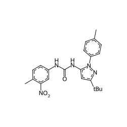 Cc1ccc(-n2nc(C(C)(C)C)cc2NC(=O)Nc2ccc(C)c([N+](=O)[O-])c2)cc1